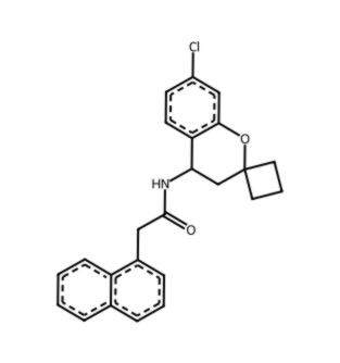 O=C(Cc1cccc2ccccc12)NC1CC2(CCC2)Oc2cc(Cl)ccc21